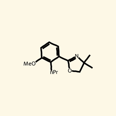 CCCc1c(OC)cccc1C1=NC(C)(C)CO1